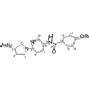 CNC1CCN(c2ccc(NC(=O)c3ccc(OCC(C)C)cc3)cn2)C1